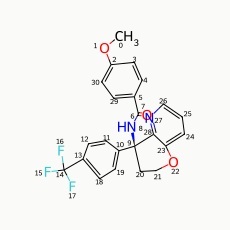 COc1ccc(C(=O)N[C@]2(c3ccc(C(F)(F)F)cc3)CCOc3cccnc32)cc1